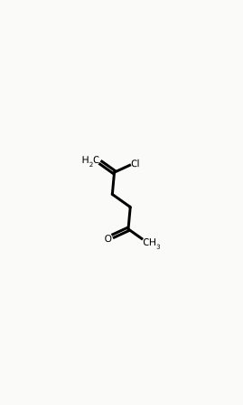 C=C(Cl)CCC(C)=O